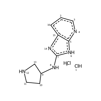 Cl.Cl.c1cnc2[nH]c(NC3CCNC3)nc2c1